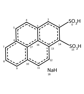 O=S(=O)(O)c1cc2ccc3cccc4ccc(c1S(=O)(=O)O)c2c34.[NaH]